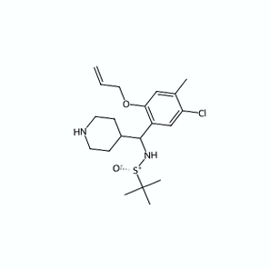 C=CCOc1cc(C)c(Cl)cc1C(N[S@@+]([O-])C(C)(C)C)C1CCNCC1